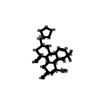 CCCc1cc(=O)oc2c3c(c4c(c12)OC(C)(C)C=C4)OC(CN1CCCC1)CC3=O